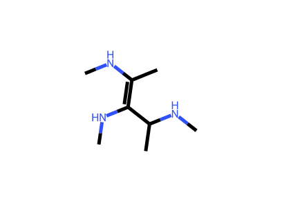 CNC(C)=C(NC)C(C)NC